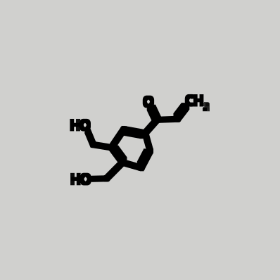 C=CC(=O)c1ccc(CO)c(CO)c1